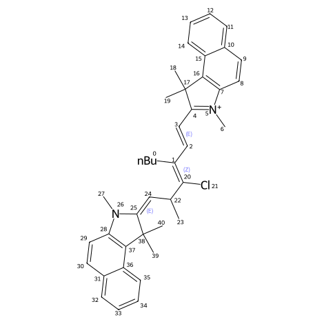 CCCCC(/C=C/C1=[N+](C)c2ccc3ccccc3c2C1(C)C)=C(/Cl)C(C)/C=C1/N(C)c2ccc3ccccc3c2C1(C)C